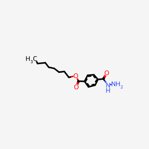 CCCCCCCCOC(=O)c1ccc(C(=O)NN)cc1